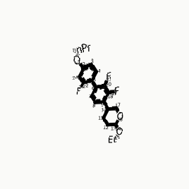 CCCOc1ccc(-c2ccc(C3CCC(OCC)OC3)c(F)c2F)c(F)c1